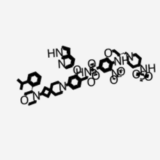 CC(C)c1ccccc1[C@H]1COCCN1C1CC2(CCN(c3ccc(C(=O)NS(=O)(=O)c4cc5c(c([N+](=O)[O-])c4)N[C@@H](CN4CCC(NS(C)(=O)=O)CC4)CO5)c(Oc4cnc5[nH]ccc5c4)c3)CC2)C1